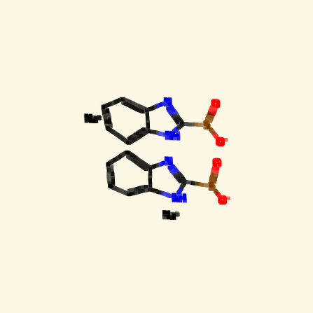 O=S([O-])c1nc2ccccc2[nH]1.O=S([O-])c1nc2ccccc2[nH]1.[Na+].[Na+]